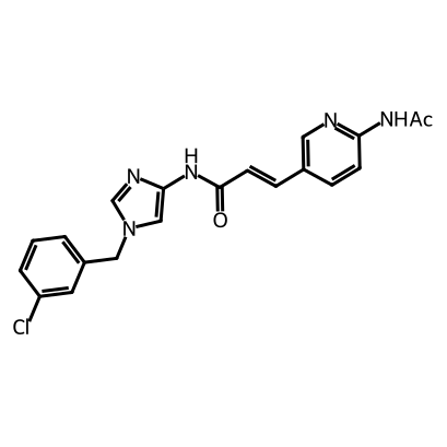 CC(=O)Nc1ccc(/C=C/C(=O)Nc2cn(Cc3cccc(Cl)c3)cn2)cn1